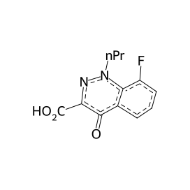 CCCn1nc(C(=O)O)c(=O)c2cccc(F)c21